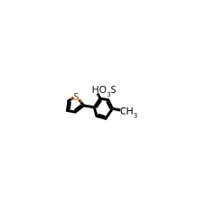 Cc1ccc(-c2cccs2)c(S(=O)(=O)O)c1